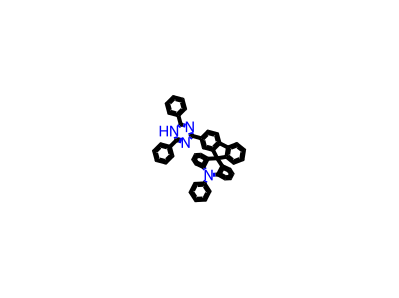 c1ccc(C2=NC(c3ccc4c(c3)C3(c5ccccc5-4)c4ccccc4N(c4ccccc4)c4ccccc43)=NC(c3ccccc3)N2)cc1